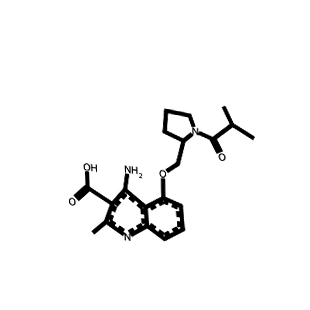 Cc1nc2cccc(OCC3CCCN3C(=O)C(C)C)c2c(N)c1C(=O)O